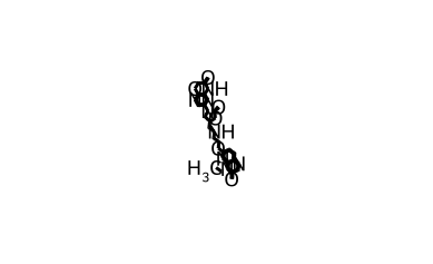 CCn1c(=O)cnc2ccc(OCCNCC3CN(c4cnc5c(n4)NC(=O)CO5)C(=O)O3)nc21